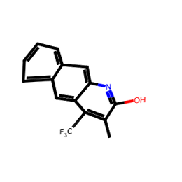 Cc1c(O)nc2cc3ccccc3cc2c1C(F)(F)F